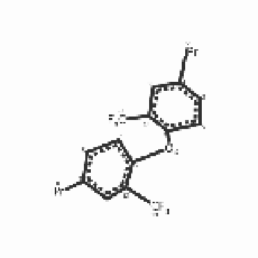 CC(C)c1ccc(Oc2ccc(C(C)C)cc2C(F)(F)F)c(C(F)(F)F)c1